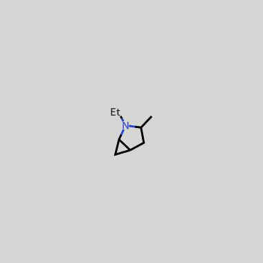 CCN1C(C)CC2CC21